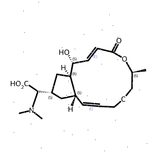 C[C@H]1CCC/C=C/[C@@H]2C[C@H](C(C(=O)O)N(C)C)C[C@H]2[C@H](O)/C=C/C(=O)O1